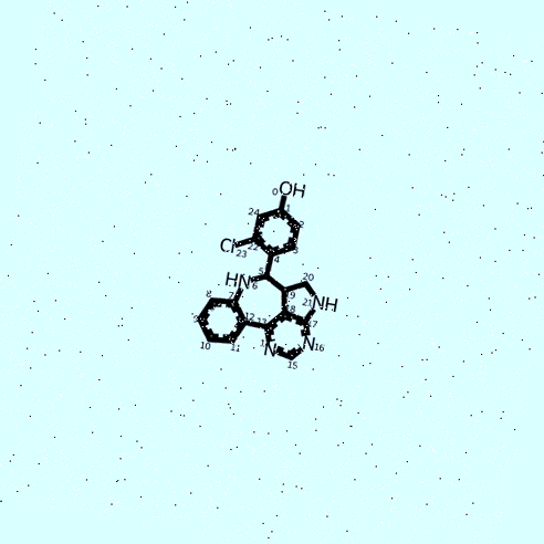 Oc1ccc(C2Nc3ccccc3-c3ncnc4c3C2CN4)c(Cl)c1